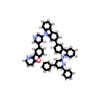 c1ccc(-c2cc(-c3ccccc3)nc(-n3c4ccccc4c4cc(-c5ccc6c7ccccc7n(-c7cncc(-c8ccc9oc%10cccnc%10c9c8)c7)c6c5)ccc43)c2)cc1